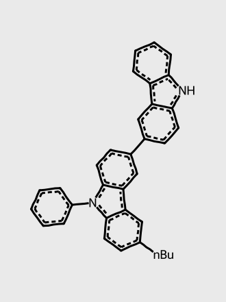 CCCCc1ccc2c(c1)c1cc(-c3ccc4[nH]c5ccccc5c4c3)ccc1n2-c1ccccc1